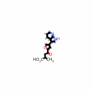 CC(CC(=O)c1cc(-c2c[nH]c3ncccc23)co1)C(=O)O